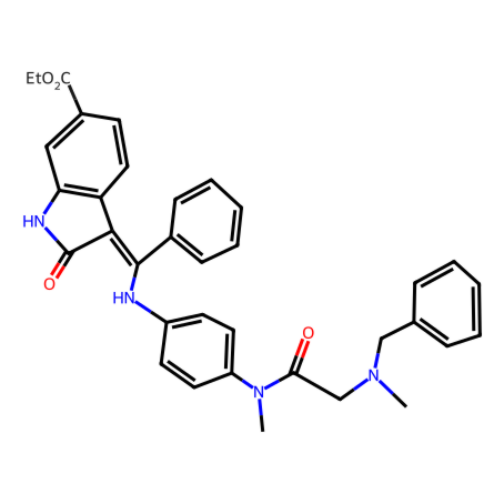 CCOC(=O)c1ccc2c(c1)NC(=O)/C2=C(\Nc1ccc(N(C)C(=O)CN(C)Cc2ccccc2)cc1)c1ccccc1